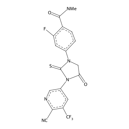 CNC(=O)c1ccc(N2CC(=O)N(c3cnc(C#N)c(C(F)(F)F)c3)C2=S)cc1F